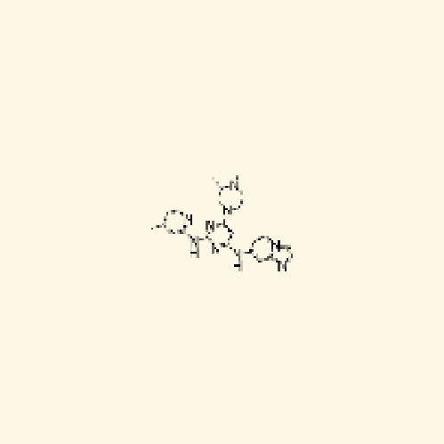 Cc1ccnc(Nc2nc(Nc3ccn4ccnc4c3)cc(N3CCN(C)C(C)C3)n2)c1